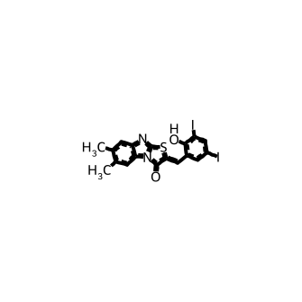 Cc1cc2nc3sc(=Cc4cc(I)cc(I)c4O)c(=O)n3c2cc1C